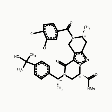 CNC(=O)[C@@H]1CN([C@H](C)c2ccc(C(C)(C)O)cc2)C(=O)c2c3c(nn21)C[C@@H](C)N(C(=O)c1ccc(Cl)c(Cl)c1)C3